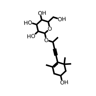 CC1=C(C#CC(C)OC2OC(CO)C(O)C(O)C2O)C(C)(C)CC(O)C1